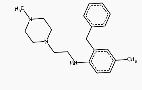 Cc1ccc(NCCN2CCN(C)CC2)c(Cc2ccccc2)c1